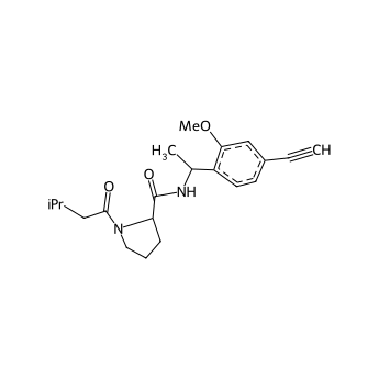 C#Cc1ccc(C(C)NC(=O)C2CCCN2C(=O)CC(C)C)c(OC)c1